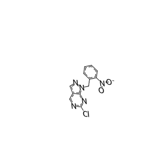 O=[N+]([O-])c1ccccc1Cn1ncc2cnc(Cl)nc21